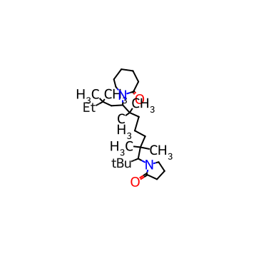 CCC(C)(C)CC(N1CCCCCC1=O)C(C)(C)CCCC(C)(C)C(N1CCCC1=O)C(C)(C)C